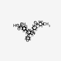 CN1CCN(C(=O)N2CCC(n3ncc4c(N5CCOCC5)nc(-c5ccc(N(C)C(=O)O)cc5)nc43)CC2)CC1